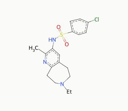 CCN1CCc2cc(NS(=O)(=O)c3ccc(Cl)cc3)c(C)nc2CC1